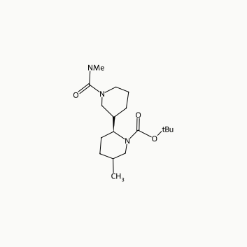 CNC(=O)N1CCCC([C@@H]2CCC(C)CN2C(=O)OC(C)(C)C)C1